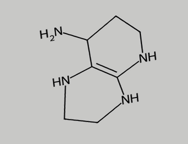 NC1CCNC2=C1NCCN2